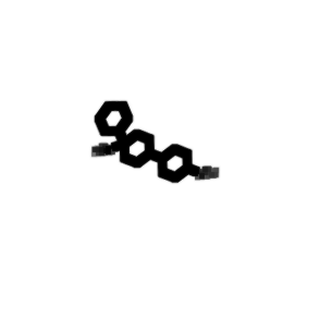 CCCCC1CCC(C2CCC(CCCC)(C3CCCCC3)CC2)CC1